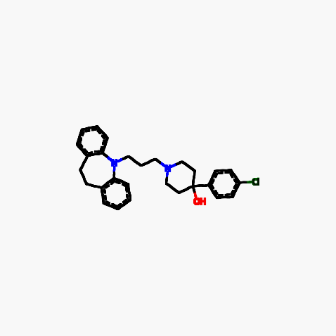 OC1(c2ccc(Cl)cc2)CCN(CCCN2c3ccccc3CCc3ccccc32)CC1